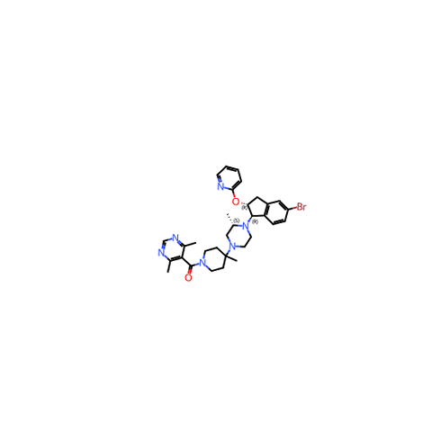 Cc1ncnc(C)c1C(=O)N1CCC(C)(N2CCN([C@@H]3c4ccc(Br)cc4C[C@H]3Oc3ccccn3)[C@@H](C)C2)CC1